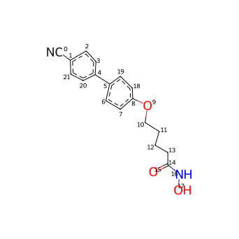 N#Cc1ccc(-c2ccc(OCCCCC(=O)NO)cc2)cc1